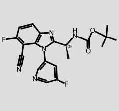 C[C@H](NC(=O)OC(C)(C)C)c1nc2ccc(F)c(C#N)c2n1-c1cncc(F)c1